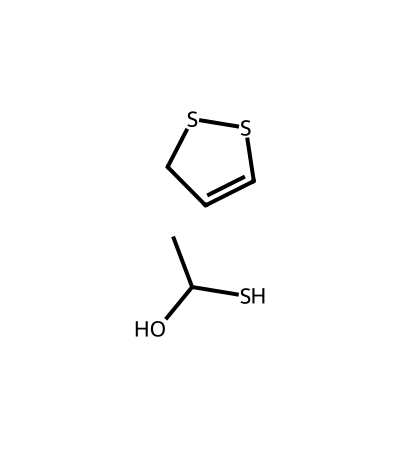 C1=CSSC1.CC(O)S